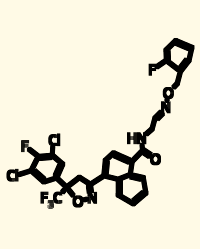 O=C(NC/C=N/OCc1ccccc1F)c1ccc(C2=NOC(c3cc(Cl)c(F)c(Cl)c3)(C(F)(F)F)C2)c2ccccc12